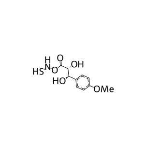 COc1ccc([C@@H](O)[C@@H](O)C(=O)ONS)cc1